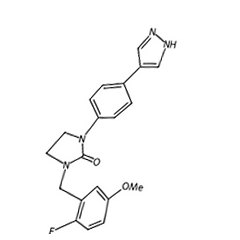 COc1ccc(F)c(CN2CCN(c3ccc(-c4cn[nH]c4)cc3)C2=O)c1